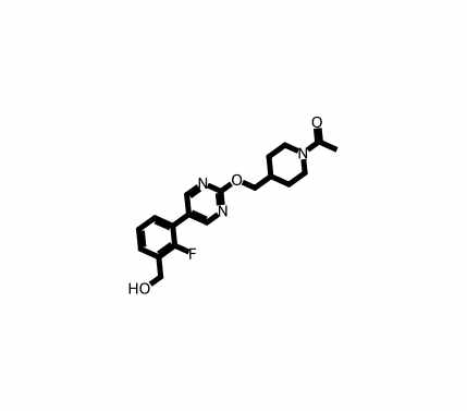 CC(=O)N1CCC(COc2ncc(-c3cccc(CO)c3F)cn2)CC1